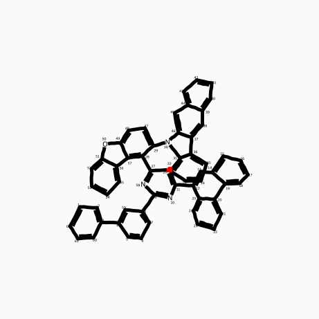 c1ccc(-c2cccc(-c3nc(-c4cc5ccccc5c5ccccc45)nc(-c4c(-n5c6ccccc6c6cc7ccccc7cc65)ccc5oc6ccccc6c45)n3)c2)cc1